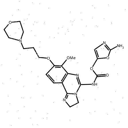 COc1c(OCCCN2CCOCC2)ccc2c1N=C(NC(=O)Oc1cnc(N)o1)N1CCN=C21